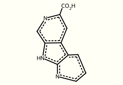 O=C(O)c1cc2c(cn1)[nH]c1ncccc12